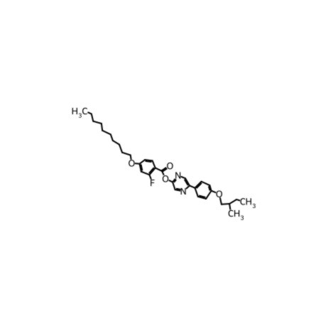 CCCCCCCCCCOc1ccc(C(=O)Oc2cnc(-c3ccc(OCC(C)CC)cc3)cn2)c(F)c1